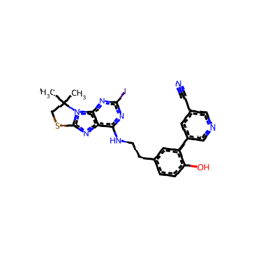 CC1(C)CSc2nc3c(NCCc4ccc(O)c(-c5cncc(C#N)c5)c4)nc(I)nc3n21